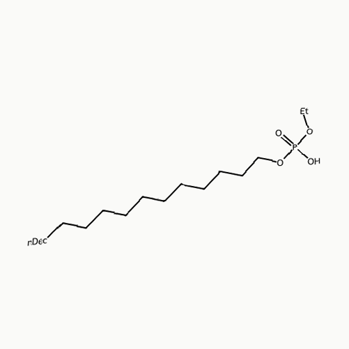 CCCCCCCCCCCCCCCCCCCCCOP(=O)(O)OCC